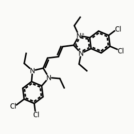 CCN1C(=C/C=C/c2n(CC)c3cc(Cl)c(Cl)cc3[n+]2CC)N(CC)c2cc(Cl)c(Cl)cc21